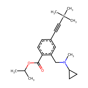 CC(C)OC(=O)c1ccc(C#C[Si](C)(C)C)cc1CN(C)C1CC1